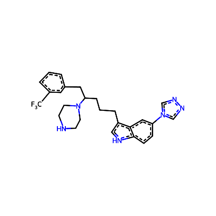 FC(F)(F)c1cccc(CC(CCCc2c[nH]c3ccc(-n4cnnc4)cc23)N2CCNCC2)c1